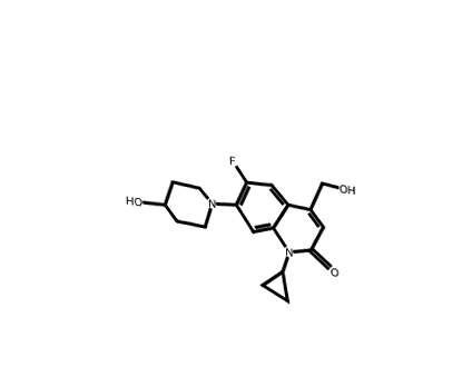 O=c1cc(CO)c2cc(F)c(N3CCC(O)CC3)cc2n1C1CC1